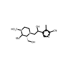 Cc1c(C(O)CN2CCN(C(=O)O)C(C(C)(C)C)[C@H]2CO)csc1C#N